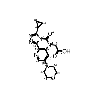 O=C(O)Cn1c(=O)n2c(C3CC3)nnc2c2ncc(N3CCOCC3)cc21